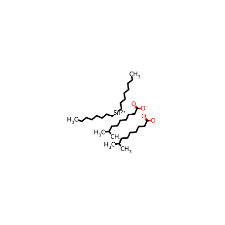 CC(C)CCCCCCC(=O)[O-].CC(C)CCCCCCC(=O)[O-].CCCCCCC[CH2][Sn+2][CH2]CCCCCCC